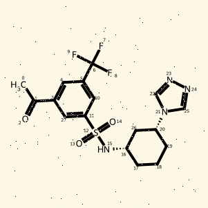 CC(=O)c1cc(C(F)(F)F)cc(S(=O)(=O)N[C@H]2CCC[C@@H](n3cnnc3)C2)c1